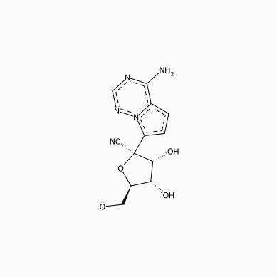 N#C[C@@]1(c2ccc3c(N)ncnn23)O[C@H](C[O])[C@@H](O)[C@H]1O